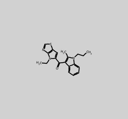 CCCn1c(C)c(C(=O)c2cc3scnc3n2CC)c2ccccc21